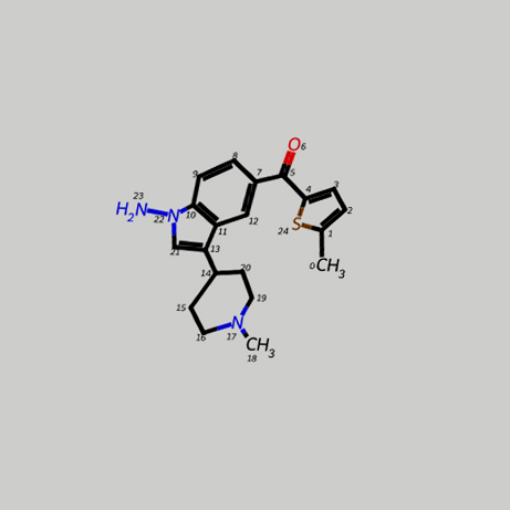 Cc1ccc(C(=O)c2ccc3c(c2)c(C2CCN(C)CC2)cn3N)s1